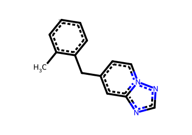 Cc1c[c]ccc1Cc1ccn2ncnc2c1